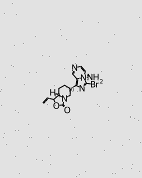 C=CC1OC(=O)N2C[C@H](C3=C4C=NC=C[N+]4(N)C(Br)=N3)CC[C@@H]12